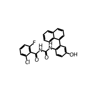 O=C(NC(=O)c1c(F)cccc1Cl)Nc1ccc(O)cc1-c1cccc2ccccc12